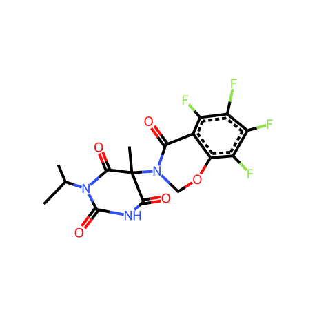 CC(C)N1C(=O)NC(=O)C(C)(N2COc3c(F)c(F)c(F)c(F)c3C2=O)C1=O